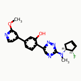 COc1cc(-c2ccc(-c3cnc(N(C)[C@@H]4CC=C[C@@H]4F)nn3)c(O)c2)ccn1